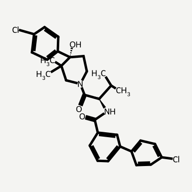 CC(C)[C@@H](NC(=O)c1cccc(-c2ccc(Cl)cc2)c1)C(=O)N1CC[C@](O)(c2ccc(Cl)cc2)C(C)(C)C1